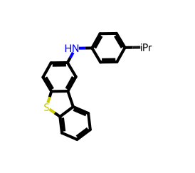 CC(C)c1ccc(Nc2ccc3sc4ccccc4c3c2)cc1